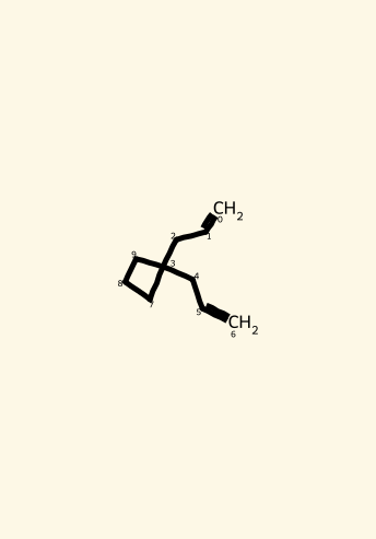 C=CCC1(CC=C)CCC1